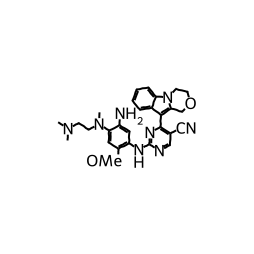 COc1cc(N(C)CCN(C)C)c(N)cc1Nc1ncc(C#N)c(-c2c3n(c4ccccc24)CCOC3)n1